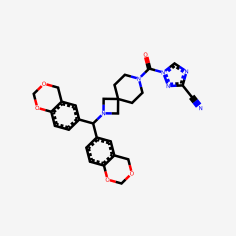 N#Cc1ncn(C(=O)N2CCC3(CC2)CN(C(c2ccc4c(c2)COCO4)c2ccc4c(c2)COCO4)C3)n1